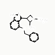 CC(C)(C)C1C(c2n[nH]c3cccc(OCc4ccccc4)c23)CN1C(=O)O